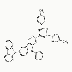 Cc1ccc(-c2nc(-c3ccc(C)cc3)nc(-c3ccc4c5cc(-n6c7ccccc7c7cccnc76)ccc5n(-c5ccccc5)c4c3)n2)cc1